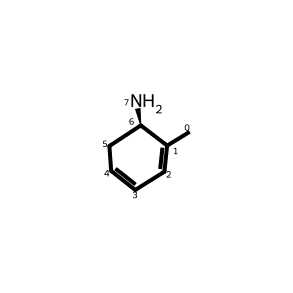 CC1=CC=CC[C@H]1N